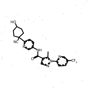 Cc1c(C(=O)Nc2ccc(C3(C#N)CCC(O)CC3)nc2)cnn1-c1ccc(C(F)(F)F)cn1